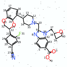 COC(=O)c1ccc2nc(CN3CCC(c4cccc5c4O[C@@H](c4ccc(C#N)cc4F)CO5)CC3)n(C[C@@H]3CCO3)c2c1